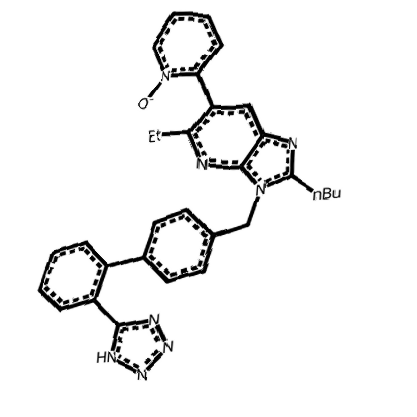 CCCCc1nc2cc(-c3cccc[n+]3[O-])c(CC)nc2n1Cc1ccc(-c2ccccc2-c2nnn[nH]2)cc1